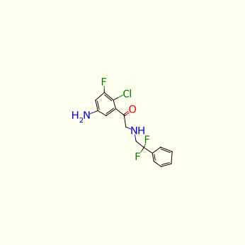 Nc1cc(F)c(Cl)c(C(=O)CNCC(F)(F)c2ccccc2)c1